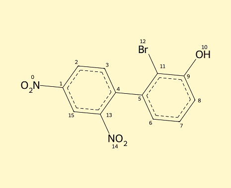 O=[N+]([O-])c1ccc(-c2cccc(O)c2Br)c([N+](=O)[O-])c1